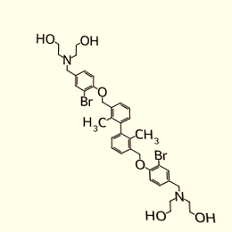 Cc1c(COc2ccc(CN(CCO)CCO)cc2Br)cccc1-c1cccc(COc2ccc(CN(CCO)CCO)cc2Br)c1C